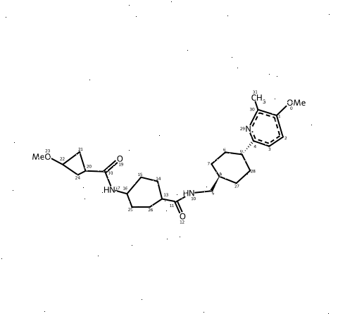 COc1ccc([C@H]2CC[C@H](CNC(=O)C3CCC(NC(=O)C4CC(OC)C4)CC3)CC2)nc1C